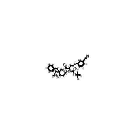 CN1N=C2CCN(C(=O)C(CCOc3cccc(C#N)c3)NC(=O)OC(C)(C)C)C[C@@]2(Cc2ccccc2)C1=O